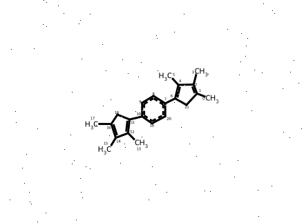 CC1=C(C)C(C)=C(c2ccc(C3=C(C)C(C)=C(C)C3)cc2)C1